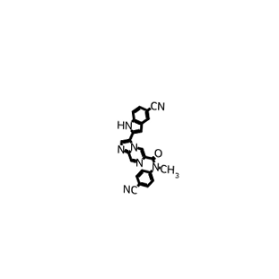 CN(C(=O)c1cn2c(-c3cc4cc(C#N)ccc4[nH]3)cnc2cn1)c1ccc(C#N)cc1